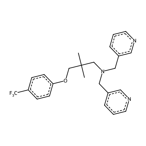 CC(C)(COc1ccc(C(F)(F)F)cc1)CN(Cc1cccnc1)Cc1cccnc1